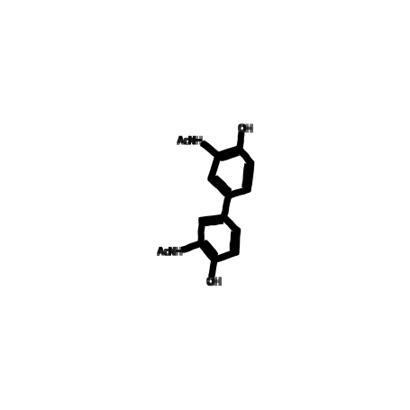 CC(=O)Nc1cc(-c2ccc(O)c(NC(C)=O)c2)ccc1O